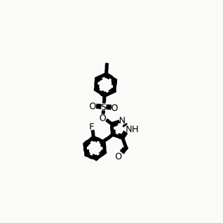 Cc1ccc(S(=O)(=O)Oc2n[nH]c(C=O)c2-c2ccccc2F)cc1